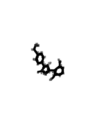 Cn1nc(-c2c(F)cccc2Cl)nc1-c1ccc(CO)cc1